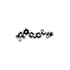 CC(C)(C)OC(=O)NCC(=O)N1CCC(CN2CCN(c3cccc(N4CCC(=O)NC4=O)c3)CC2)CC1